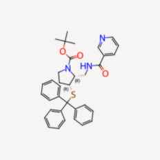 CC(C)(C)OC(=O)N1CC[C@@H](SC(c2ccccc2)(c2ccccc2)c2ccccc2)[C@H]1CNC(=O)c1cccnc1